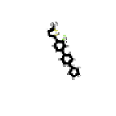 CCc1ccc(-c2ccc(-c3ccc(C4CCCC4)cc3)cc2F)s1